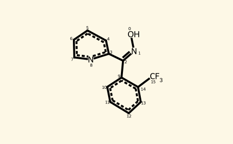 O/N=C(\c1ccccn1)c1ccccc1C(F)(F)F